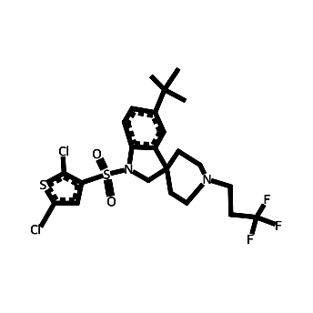 CC(C)(C)c1ccc2c(c1)C1(CCN(CCC(F)(F)F)CC1)CN2S(=O)(=O)c1cc(Cl)sc1Cl